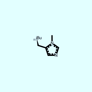 CC[C@H](C)Cc1cncn1C